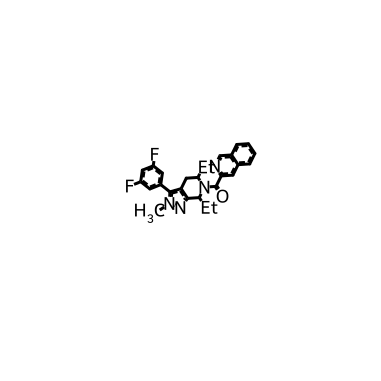 CCC1Cc2c(nn(C)c2-c2cc(F)cc(F)c2)C(CC)N1C(=O)c1cc2ccccc2cn1